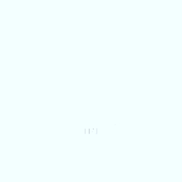 [O]=[AlH].c1cc2c3c(cccc3c1)CC2